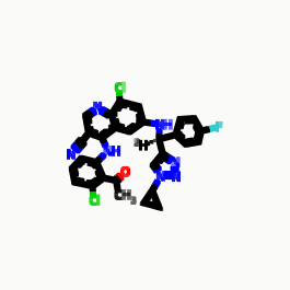 [2H][C@](Nc1cc(Cl)c2ncc(C#N)c(Nc3cccc(Cl)c3C(C)=O)c2c1)(c1ccc(F)cc1)c1cn(C2CC2)nn1